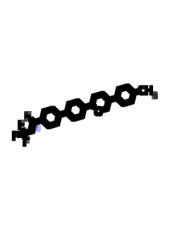 CC1CCC(C2CCC(C3CCC(C4CCC(/C(F)=C/C(F)(F)F)CC4)CC3)OC2)CC1